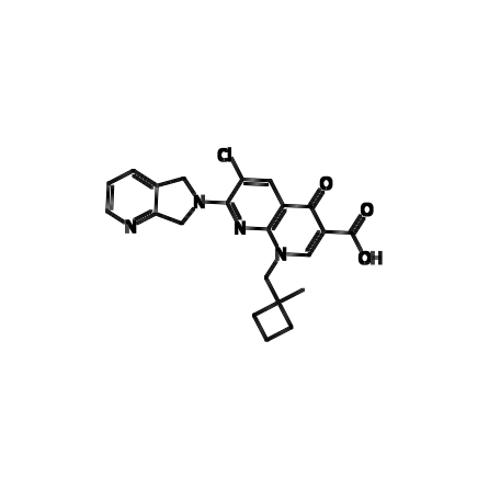 CC1(Cn2cc(C(=O)O)c(=O)c3cc(Cl)c(N4Cc5cccnc5C4)nc32)CCC1